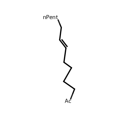 CCCCCCC=CCCCCC(C)=O